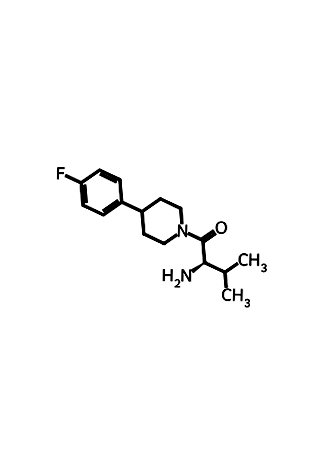 CC(C)[C@@H](N)C(=O)N1CCC(c2ccc(F)cc2)CC1